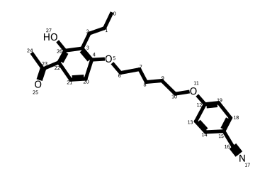 CCCc1c(OCCCCCOc2ccc(C#N)cc2)ccc(C(C)=O)c1O